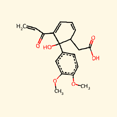 C=CC(=O)C1=CC=CC(CC(=O)O)C1(O)c1ccc(OC)c(OC)c1